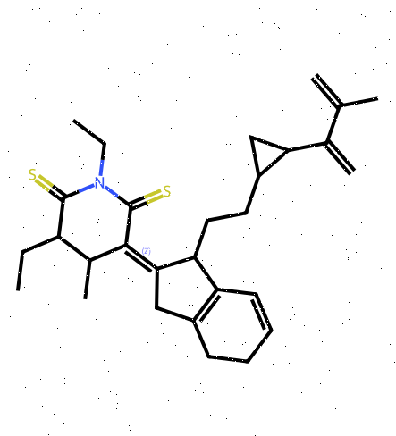 C=C(C)C(=C)C1CC1CCC1C2=C(CCC=C2)C/C1=C1/C(=S)N(CC)C(=S)C(CC)C1C